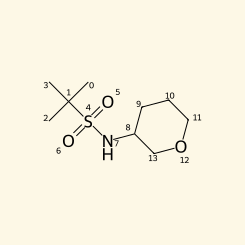 CC(C)(C)S(=O)(=O)NC1CCCOC1